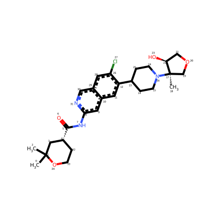 CC1(C)C[C@H](C(=O)Nc2cc3cc(C4CCN([C@]5(C)COC[C@@H]5O)CC4)c(Cl)cc3cn2)CCO1